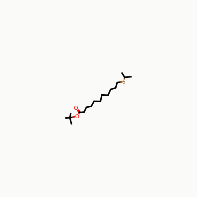 CC(C)SCCCCCCCCCCC(=O)OC(C)(C)C